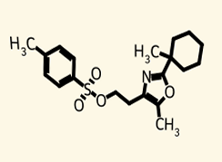 Cc1ccc(S(=O)(=O)OCCc2nc(C3(C)CCCCC3)oc2C)cc1